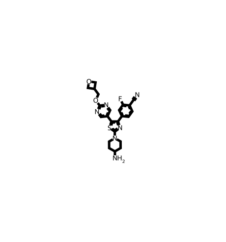 N#Cc1ccc(-c2nc(N3CCC(N)CC3)sc2-c2cnc(OCC3COC3)nc2)cc1F